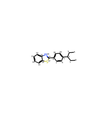 CC[C](CC)c1ccc(-c2nc3ccccc3s2)cc1